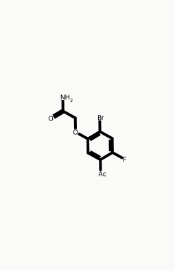 CC(=O)c1cc(OCC(N)=O)c(Br)cc1F